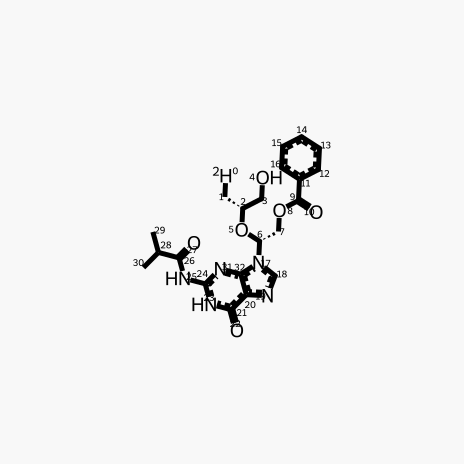 [2H]C[C@H](CO)O[C@H](COC(=O)c1ccccc1)n1cnc2c(=O)[nH]c(NC(=O)C(C)C)nc21